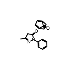 CC1=NN(c2ccccc2)C(=O)C1.O=C1C2=CC=C1C=C2